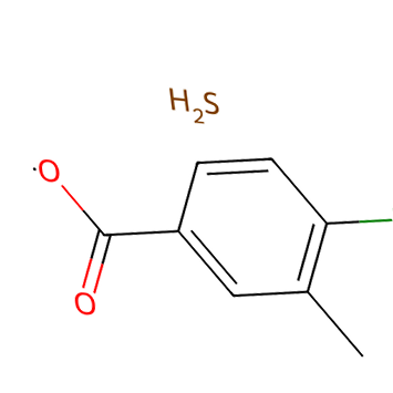 Cc1cc(C([O])=O)ccc1F.S